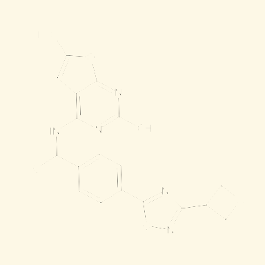 Cc1nc(NC(C)c2ccc(-c3nc(C4COC4)no3)cc2)c2cc(C)oc2n1